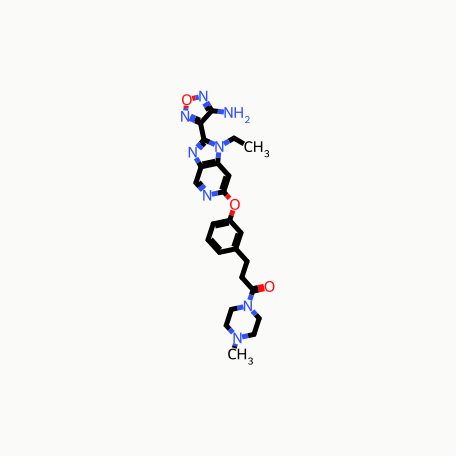 CCn1c(-c2nonc2N)nc2cnc(Oc3cccc(CCC(=O)N4CCN(C)CC4)c3)cc21